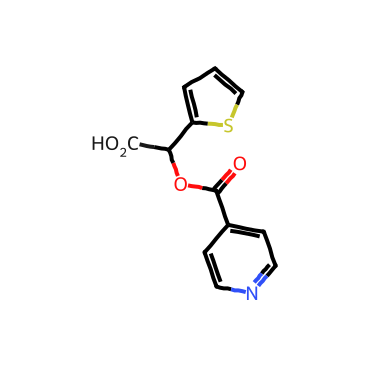 O=C(OC(C(=O)O)c1cccs1)c1ccncc1